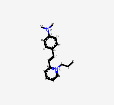 CCC[n+]1ccccc1/C=C/c1ccc(N(C)C)cc1